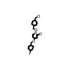 O=c1cc(OCc2ccc(F)cc2)ccn1OCc1ccc(CCl)cc1